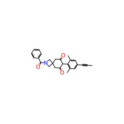 CC#Cc1cc(C)c(C2C(=O)CC3(CC2=O)CN(C(=O)c2ccccc2)C3)c(C)c1